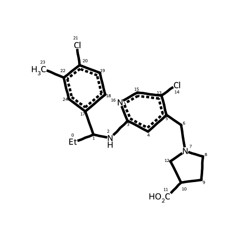 CCC(Nc1cc(CN2CCC(C(=O)O)C2)c(Cl)cn1)c1ccc(Cl)c(C)c1